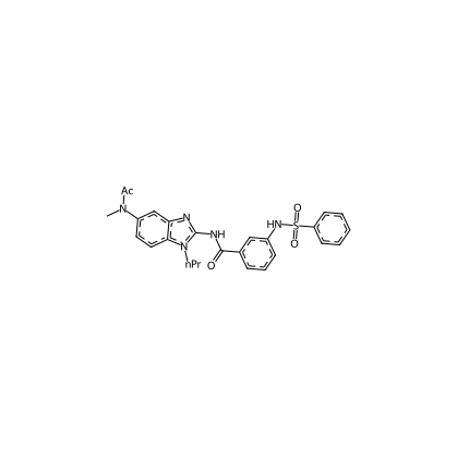 CCCn1c(NC(=O)c2cccc(NS(=O)(=O)c3ccccc3)c2)nc2cc(N(C)C(C)=O)ccc21